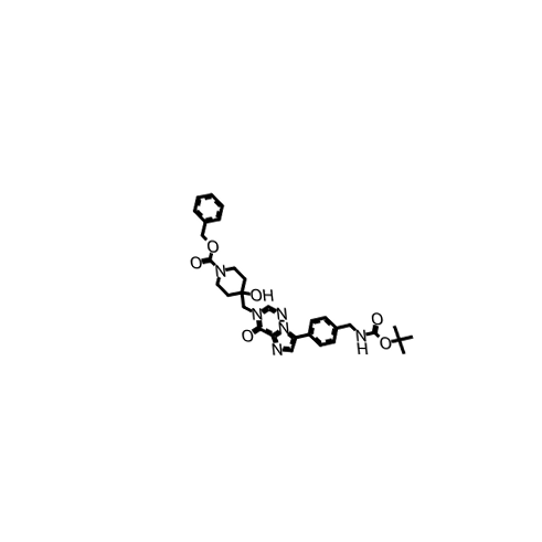 CC(C)(C)OC(=O)NCc1ccc(-c2cnc3c(=O)n(CC4(O)CCN(C(=O)OCc5ccccc5)CC4)cnn23)cc1